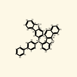 c1ccc(-c2ccc(N(c3ccc4sc5ccccc5c4c3)c3cccc4oc5c6ccccc6ccc5c34)cc2)cc1